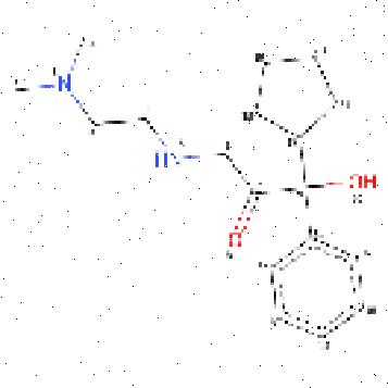 CN(C)CCNCC(=O)C(O)(c1ccccc1)C1CCCC1